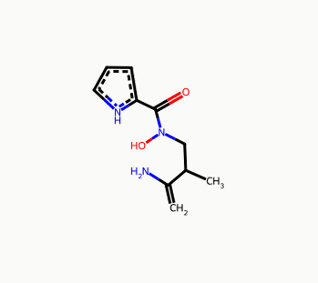 C=C(N)C(C)CN(O)C(=O)c1ccc[nH]1